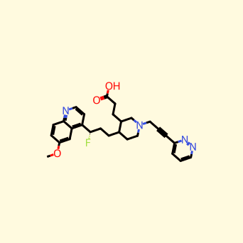 COc1ccc2nccc([C@@H](F)CCC3CCN(CC#Cc4cccnn4)CC3CCC(=O)O)c2c1